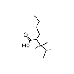 CCCCC(C(=O)O)C(C)(C)C(C)C